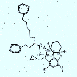 COc1cc(O)c2c3c1O[C@H]1CCC[C@H]4[C@@H](C2)[N+](CC2CC2)(NC(=O)C(CCCCCCc2ccccc2)CCc2ccccc2)CC[C@]314